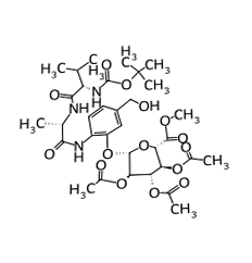 COC(=O)[C@H]1O[C@@H](Oc2cc(CO)ccc2NC(=O)[C@H](C)NC(=O)[C@@H](NC(=O)OC(C)(C)C)C(C)C)[C@H](OC(C)=O)[C@@H](OC(C)=O)[C@@H]1OC(C)=O